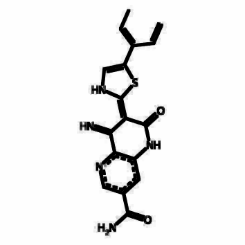 C=C/C(=C\C)C1=CN/C(=C2\C(=N)c3ncc(C(N)=O)cc3NC2=O)S1